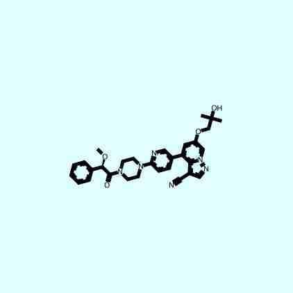 CO[C@@H](C(=O)N1CCN(c2ccc(-c3cc(OCC(C)(C)O)cn4ncc(C#N)c34)cn2)CC1)c1ccccc1